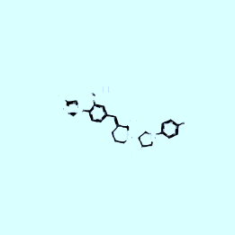 COc1cc(C=C2CCCN([C@@H]3CN(c4ccc(F)cc4)C[C@H]3O)C2=O)ccc1-n1cnc(C)c1